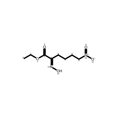 CCOC(=O)C(CCCC[N+](=O)[O-])=NO